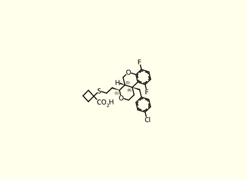 O=C(O)C1(SCC[C@@H]2OCC[C@@]3(Cc4ccc(Cl)cc4)c4c(F)ccc(F)c4OC[C@@H]23)CCC1